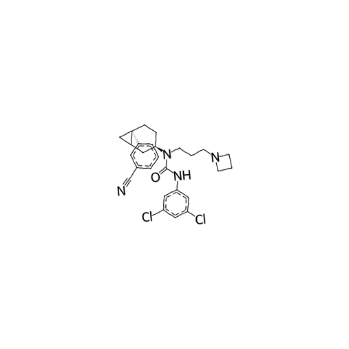 N#Cc1cccc([C@]23CC[C@@H](N(CCCN4CCC4)C(=O)Nc4cc(Cl)cc(Cl)c4)CC2C3)c1